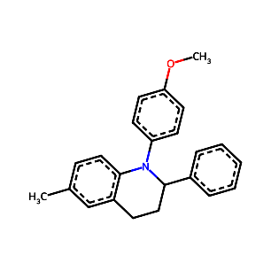 COc1ccc(N2c3ccc(C)cc3CCC2c2ccccc2)cc1